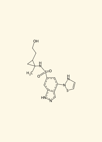 CC1(NS(=O)(=O)c2cc(N3NC=CS3)c3cn[nH]c3c2)CC1CCO